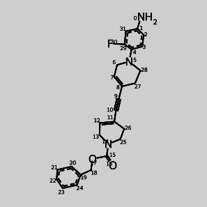 Nc1ccc(N2CC=C(C#CC3=CCN(C(=O)OCc4ccccc4)CC3)CC2)c(F)c1